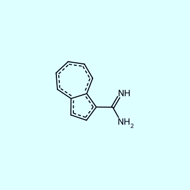 N=C(N)c1ccc2cccccc1-2